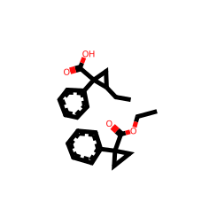 CCC1CC1(C(=O)O)c1ccccc1.CCOC(=O)C1(c2ccccc2)CC1